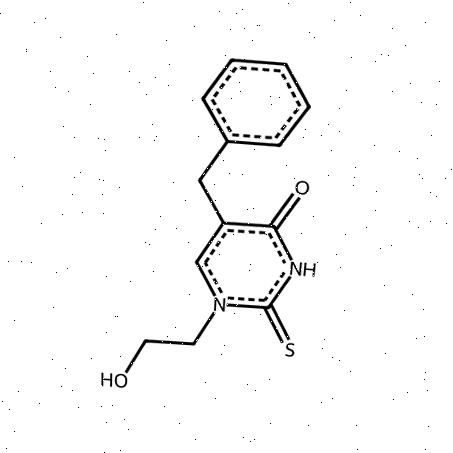 O=c1[nH]c(=S)n(CCO)cc1Cc1ccccc1